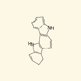 C1=Cc2[nH]c3c(ccc4[nH]c5ccccc5c43)c2CC1